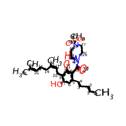 CCCCCc1cc(O)c(CC=C(C)CCC=C(C)C)c(O)c1C(=O)N1CCN(S(C)(=O)=O)CC1